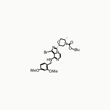 COc1ccc(CNc2nccn3c([C@H]4CN(C(=O)OC(C)(C)C)[C@@H](C)CO4)nc(Br)c23)c(OC)c1